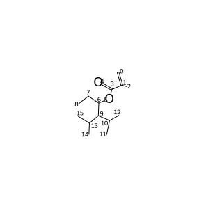 C=C(C)C(=O)OC(CC)C(C(C)C)C(C)C